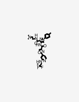 Cc1ccc(-n2cc(NC(=O)c3coc(-c4ccnc(NCC(F)(F)F)c4)n3)c(C(=O)NCCN(C)C)n2)cc1